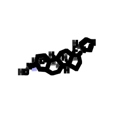 C[C@]12CC/C(=N/O)C=C1CC[C@@H]1[C@@H]2CC[C@]2(C)C(n3ccnc3)CC[C@@H]12